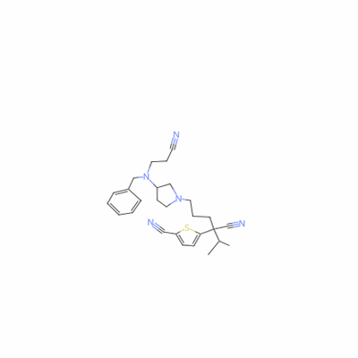 CC(C)C(C#N)(CCCN1CCC(N(CCC#N)Cc2ccccc2)C1)c1ccc(C#N)s1